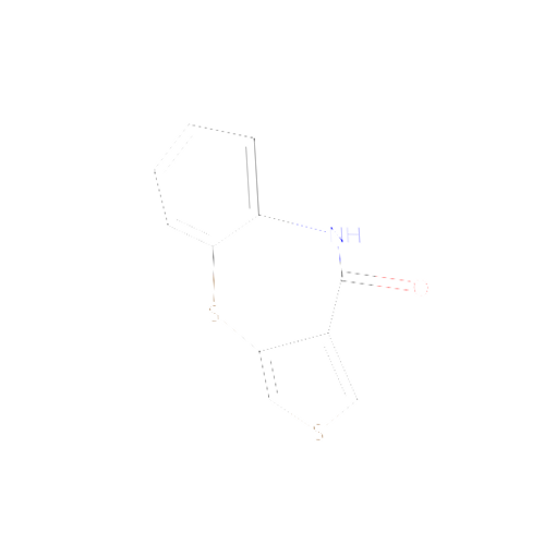 O=C1Nc2ccccc2Sc2cscc21